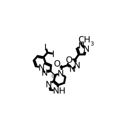 Cn1cc(-c2nnc(C(=O)N3CCc4[nH]cnc4[C@H]3c3cc4c(C(I)I)cccn4n3)o2)cn1